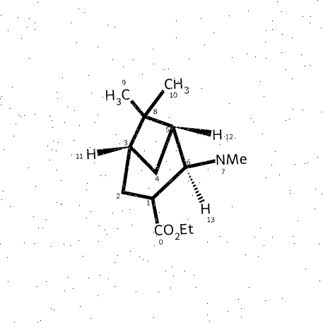 CCOC(=O)C1C[C@H]2C[C@@H]([C@H]1NC)C2(C)C